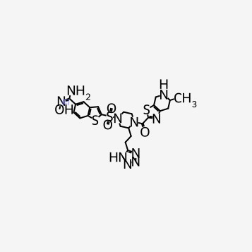 CC1Cc2nc(C(=O)N3CCN(S(=O)(=O)c4cc5cc(/C(N)=N\O)ccc5s4)CC3CCc3nnn[nH]3)sc2CN1